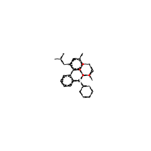 Cc1cc(CC(C)C)c(-c2ccccc2P(C2CCCCC2)C2CCCCC2)c(CC(C)C)c1